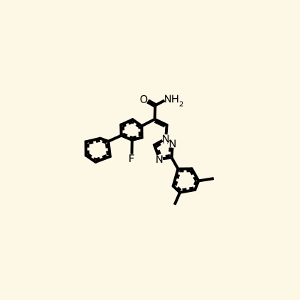 Cc1cc(C)cc(-c2ncn(/C=C(/C(N)=O)c3ccc(-c4ccccc4)c(F)c3)n2)c1